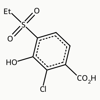 CCS(=O)(=O)c1ccc(C(=O)O)c(Cl)c1O